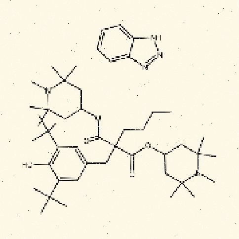 CCCCC(Cc1cc(C(C)(C)C)c(O)c(C(C)(C)C)c1)(C(=O)OC1CC(C)(C)N(C)C(C)(C)C1)C(=O)OC1CC(C)(C)N(C)C(C)(C)C1.c1ccc2[nH]nnc2c1